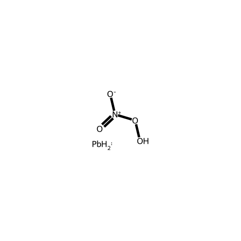 O=[N+]([O-])OO.[PbH2]